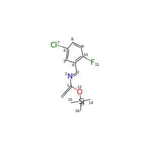 C=C(/N=C/c1cc(Cl)ccc1F)O[Si](C)(C)C